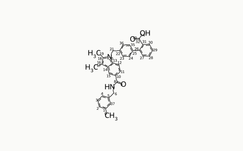 Cc1cccc(CNC(=O)c2ccc3c(c2)c(C)c(C)n3Cc2ccc(-c3ccccc3C(=O)O)cc2)c1